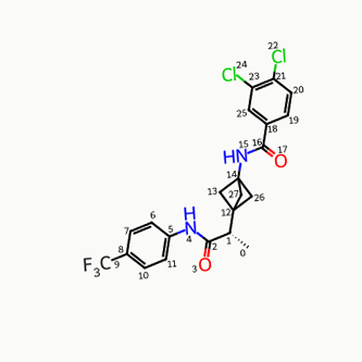 C[C@H](C(=O)Nc1ccc(C(F)(F)F)cc1)C12CC(NC(=O)c3ccc(Cl)c(Cl)c3)(C1)C2